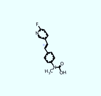 CN(C(=O)O)c1ccc(/C=C/c2ccc(F)nc2)cc1